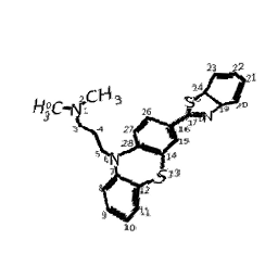 CN(C)CCCN1c2ccccc2Sc2cc(C3=NC4C=CC=CC4S3)ccc21